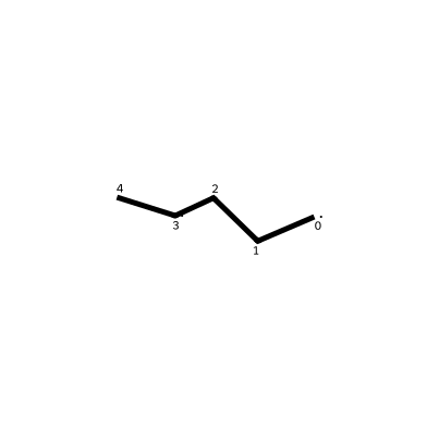 [CH2]CC[CH]C